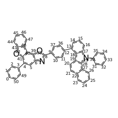 c1ccc(-c2cc3nc(-c4ccc(-c5cccc6c5c5ccc7ccccc7c5n6-c5ccccc5)cc4)oc3c3c2oc2ccccc23)cc1